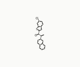 C=C(C(=O)c1cc2ccc(Cl)cc2s1)c1ccc2ccccc2c1